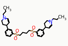 CCCN1C=CC(c2cccc(S(=O)(=O)CCCCS(=O)(=O)c3cccc(C4C=CN(CCC)CC4)c3)c2)CC1